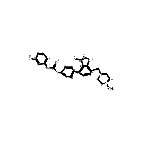 CN1CCN(Cc2ccc(-c3ccc(NC(=O)Nc4cccc(Cl)c4)cc3)c3c(N)n[nH]c23)CC1